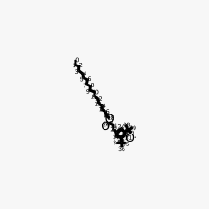 CCCCCCCCCCCCCCCCCCOC(=O)CCc1cc(C(C)(C)C)c([O])c(C(C)(C)C)c1